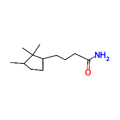 CC1CCC(CCCC(N)=O)C1(C)C